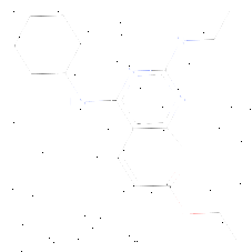 CCNc1nc(C)c(/C=C\C(=O)OCC)c(NC2CCCCC2)n1